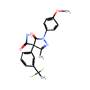 COc1ccc(N2N=C(C)C(C(N)=O)(c3cccc(C(C)(F)F)c3)C2=O)cc1